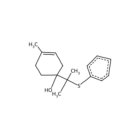 CC1=CCC(O)(C(C)(C)Sc2ccccc2)CC1